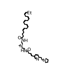 CC/C=C\C/C=C\C/C=C\C/C=C\C/C=C\CCCC(=O)NCCN(C)CCNC(=O)C/C=C/c1ccc(CCN2CCCC2)nc1